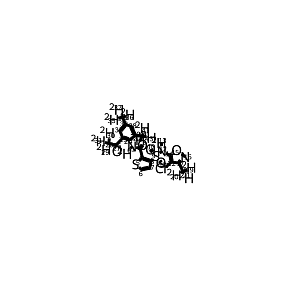 [2H]N(C(=O)c1sccc1S(=O)(=O)N([2H])c1onc(C([2H])([2H])[2H])c1Cl)c1c(C(=O)C([2H])([2H])[2H])cc(C([2H])([2H])[2H])cc1C([2H])([2H])[2H]